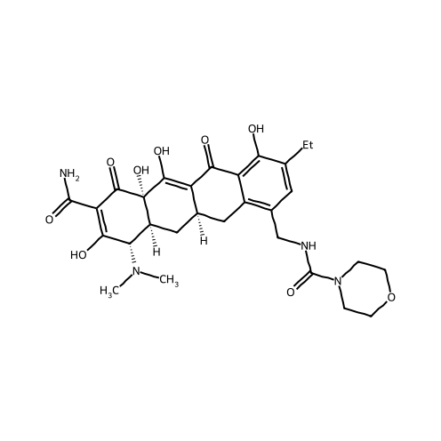 CCc1cc(CNC(=O)N2CCOCC2)c2c(c1O)C(=O)C1=C(O)[C@]3(O)C(=O)C(C(N)=O)=C(O)[C@@H](N(C)C)[C@@H]3C[C@@H]1C2